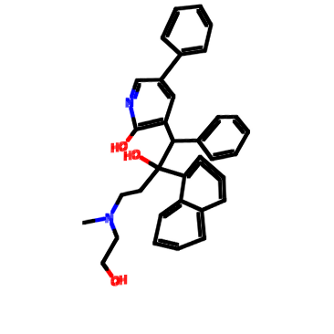 CN(CCO)CCC(O)(C1=C=C=Cc2ccccc21)C(c1ccccc1)c1cc(-c2ccccc2)cnc1O